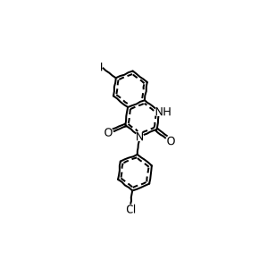 O=c1[nH]c2ccc(I)cc2c(=O)n1-c1ccc(Cl)cc1